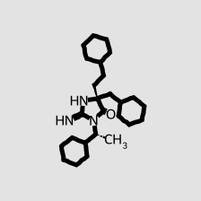 C[C@H](C1CCCCC1)N1C(=N)N[C@](CCC2CCCCC2)(CC2CCCCC2)C1=O